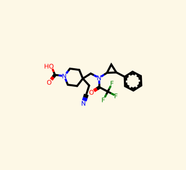 N#CCC1(CN(C(=O)C(F)(F)F)C2CC2c2ccccc2)CCN(C(=O)O)CC1